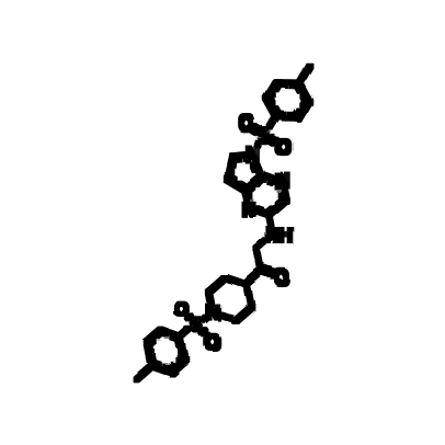 Cc1ccc(S(=O)(=O)N2CCC(C(=O)CNc3cnc4c(ccn4S(=O)(=O)c4ccc(C)cc4)n3)CC2)cc1